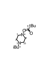 CCC(C)N1CCN(OC(=O)C(C)(C)C)CC1